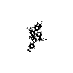 COC[C@@]1(F)CN(C(=O)[C@@]2(F)CCN([C@H]3CC[C@H](OC)CC3)C2)C[C@@H]1c1ccc(C(F)(F)F)cc1N1CCC(C(=O)O)CC1